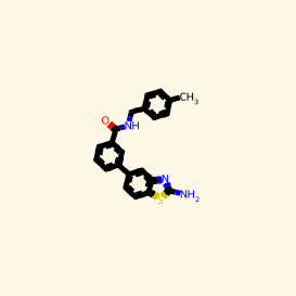 Cc1ccc(CNC(=O)c2cccc(-c3ccc4sc(N)nc4c3)c2)cc1